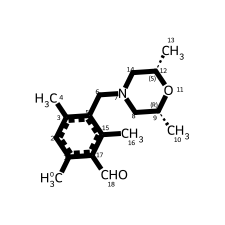 Cc1cc(C)c(CN2C[C@@H](C)O[C@@H](C)C2)c(C)c1C=O